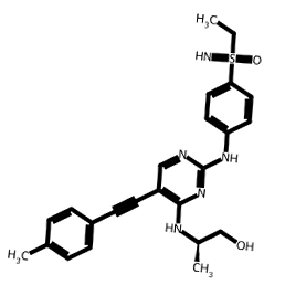 CCS(=N)(=O)c1ccc(Nc2ncc(C#Cc3ccc(C)cc3)c(N[C@H](C)CO)n2)cc1